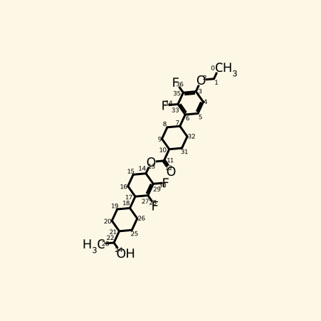 CCOc1ccc(C2CCC(C(=O)OC3CCC(C4CCC(C(C)O)CC4)C(F)=C3F)CC2)c(F)c1F